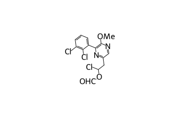 COc1ncc(CC(Cl)OC=O)nc1-c1cccc(Cl)c1Cl